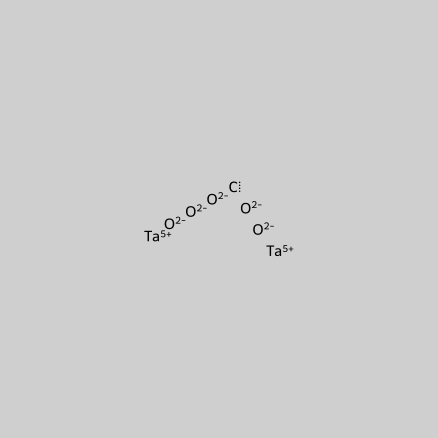 [C].[O-2].[O-2].[O-2].[O-2].[O-2].[Ta+5].[Ta+5]